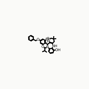 CC(C)C(=O)N1c2cccc(O)c2NC2=C(C1c1ccc(OCc3ccccc3)cc1F)S(=O)(=O)CC(C)(C)C2